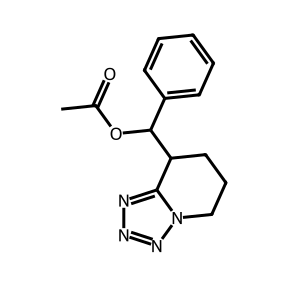 CC(=O)OC(c1ccccc1)C1CCCn2nnnc21